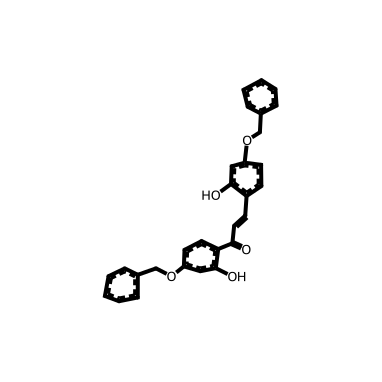 O=C(C=Cc1ccc(OCc2ccccc2)cc1O)c1ccc(OCc2ccccc2)cc1O